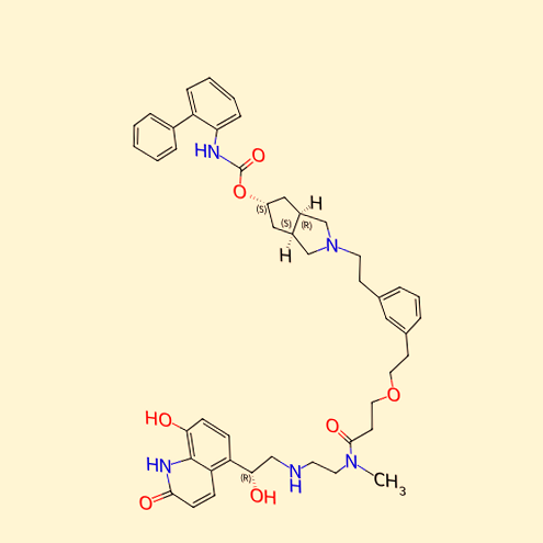 CN(CCNC[C@H](O)c1ccc(O)c2[nH]c(=O)ccc12)C(=O)CCOCCc1cccc(CCN2C[C@H]3C[C@H](OC(=O)Nc4ccccc4-c4ccccc4)C[C@H]3C2)c1